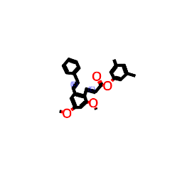 COc1cc(/C=C/c2ccccc2)c(/C=C/C(=O)Oc2cc(C)cc(C)c2)c(OC)c1